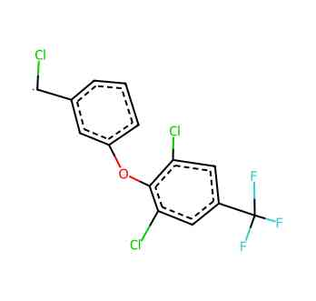 FC(F)(F)c1cc(Cl)c(Oc2cccc([CH]Cl)c2)c(Cl)c1